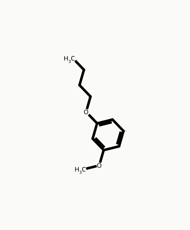 CCCCOc1c[c]cc(OC)c1